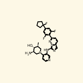 C[C@H]1CN(c2ccncc2Nc2ncc3ccc(-c4c(F)cc(C5(F)CCCC5)cc4F)nn23)C[C@@H](N)[C@@H]1O